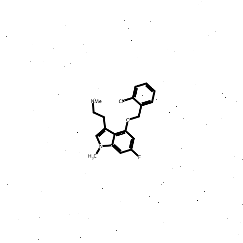 CNCCc1cn(C)c2cc(F)cc(OCc3ccccc3Cl)c12